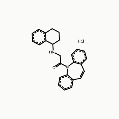 Cl.O=C(CNC1CCCc2ccccc21)N1c2ccccc2C=Cc2ccccc21